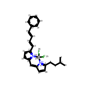 CC(C)CCC1=[N+]2C(=Cc3ccc(/C=C/C=C/c4ccccc4)n3[B-]2(F)F)C=C1